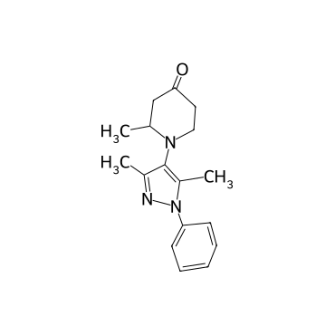 Cc1nn(-c2ccccc2)c(C)c1N1CCC(=O)CC1C